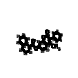 Cc1c(-c2ccccc2)c(=O)oc2cc(OC(=O)N3CCCc4ccccc43)ccc12